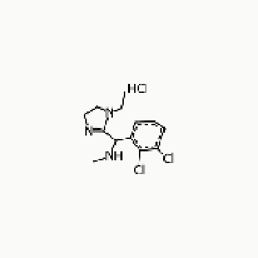 CCN1CCN=C1C(NC)c1cccc(Cl)c1Cl.Cl